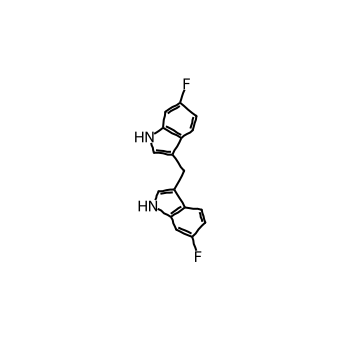 Fc1ccc2c(Cc3c[nH]c4cc(F)ccc34)c[nH]c2c1